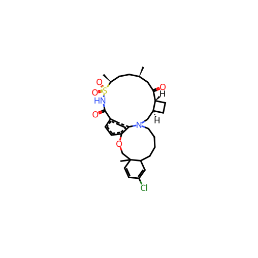 C[C@@H]1CC[C@H](C)S(=O)(=O)NC(=O)c2ccc3c(c2)N(CCCCC2C=C(Cl)C=CC2(C)CO3)C[C@@H]2CC[C@H]2C(=O)C1